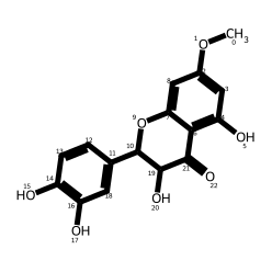 COc1cc(O)c2c(c1)OC(c1ccc(O)c(O)c1)C(O)C2=O